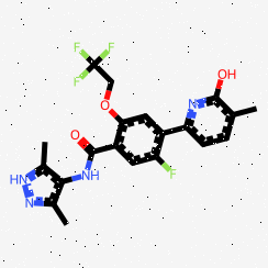 Cc1ccc(-c2cc(OCC(F)(F)F)c(C(=O)Nc3c(C)n[nH]c3C)cc2F)nc1O